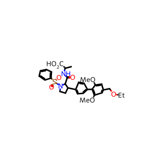 CCOCc1cc(OC)c(-c2ccc(C3CCN(S(=O)(=O)c4ccccc4)C3C(=O)NC(C)C(=O)O)cc2)c(OC)c1